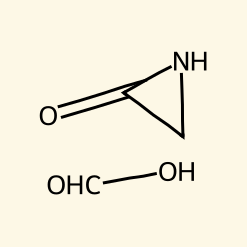 O=C1CN1.O=CO